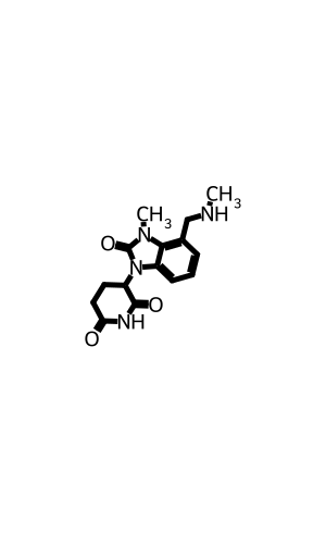 CNCc1cccc2c1n(C)c(=O)n2C1CCC(=O)NC1=O